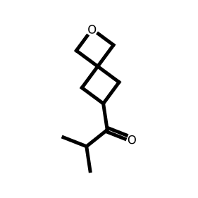 CC(C)C(=O)C1CC2(COC2)C1